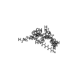 CCCCCCCCCC(=O)NCCC(=O)N[C@@H](CCCCN)C(=O)N[C@H](C(=O)N[C@@H](C)C(=O)N[C@@H](CC(N)=O)C(=O)N[C@@H](C)B1OC2C[C@@H]3C[C@@H](C3(C)C)[C@]2(C)O1)C(C)O